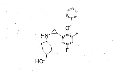 OCC1CCC(NC2CC2c2cc(F)cc(F)c2OCc2ccccc2)CC1